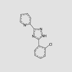 Clc1ccccc1-c1nc(-c2ccccn2)n[nH]1